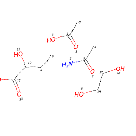 CC(=O)O.CC(N)=O.CCC(O)C(=O)O.OCCO